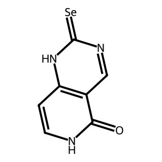 O=c1[nH]ccc2[nH]c(=[Se])ncc12